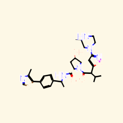 Cc1ncsc1-c1ccc(C(C)NC(=O)[C@@H]2C[C@@H](O)CN2C(=O)C(c2cc(N3CCN[C@H](C)C3)no2)C(C)C)cc1